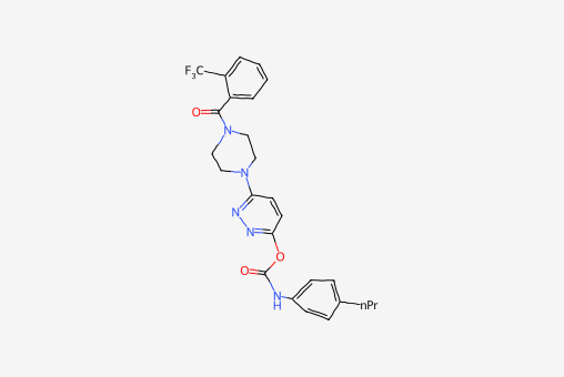 CCCc1ccc(NC(=O)Oc2ccc(N3CCN(C(=O)c4ccccc4C(F)(F)F)CC3)nn2)cc1